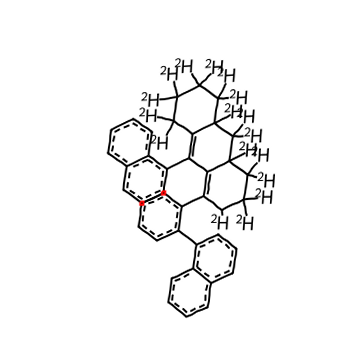 [2H]C1C(c2ccccc2-c2cccc3ccccc23)=C2C(c3cccc4ccccc34)=C3C([2H])([2H])C([2H])([2H])C([2H])([2H])C([2H])([2H])C3([2H])C([2H])([2H])C2([2H])C([2H])([2H])C1([2H])[2H]